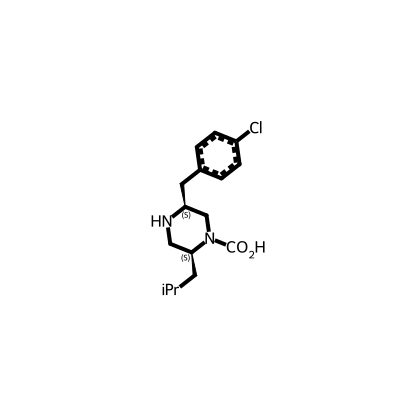 CC(C)C[C@H]1CN[C@@H](Cc2ccc(Cl)cc2)CN1C(=O)O